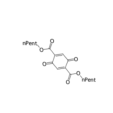 CCCCCOC(=O)C1=CC(=O)C(C(=O)OCCCCC)=CC1=O